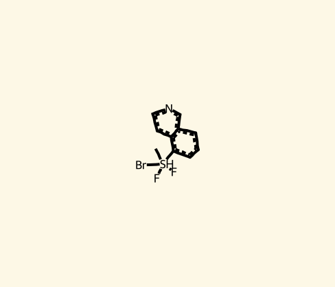 C[SH](F)(F)(Br)c1cccc2cnccc12